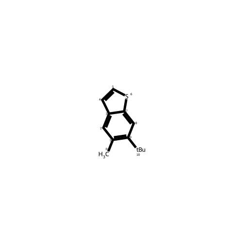 Cc1cc2ccsc2cc1C(C)(C)C